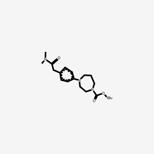 CN(C)C(=O)Cc1ccc(N2CCCN(C(=O)OC(C)(C)C)CC2)cc1